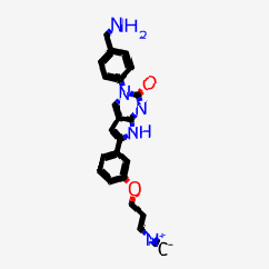 [C-]#[N+]CCCOc1cccc(-c2cc3cn(-c4ccc(CN)cc4)c(=O)nc3[nH]2)c1